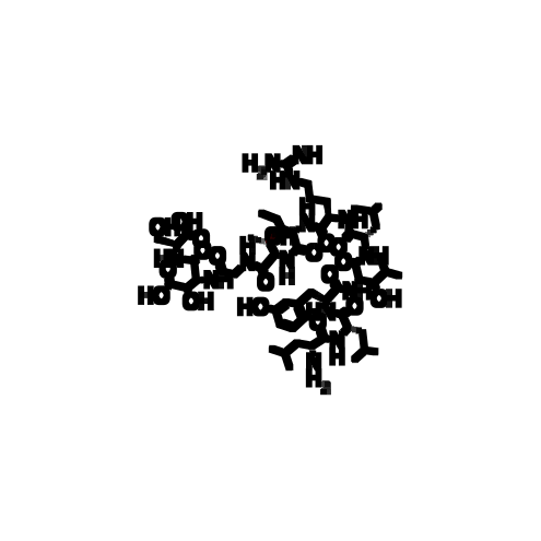 CC[C@H](C)[C@H](NC(=O)[C@@H](CCCNC(=N)N)NC(=O)[C@H](CC(C)C)NC(=O)[C@@H](NC(=O)[C@H](Cc1cccc(O)c1)NC(=O)[C@H](CC(C)C)NC(=O)[C@H](N)CC(C)C)C(O)C(C)C)C(=O)N[C@H](C(=O)NCC(=O)N[C@H](C(=O)N[C@@H](CO)C(=O)O)C(O)C(=O)O)[C@H](C)O